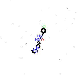 O=C(NCc1ccc(Cl)cc1)N[C@H]1C[C@@]2(CCN(c3ncccn3)C2)C1